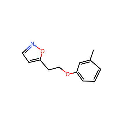 Cc1cccc(OCCc2ccno2)c1